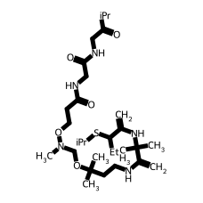 C=C(NC(C)(C)C(=C)NCCC(C)(C)OCN(C)OCCC(=O)NCC(=O)NCC(=O)C(C)C)C(CC)SC(C)C